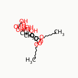 CCCC(O)O.CCCC(O)O.CCCCCCCCOC(=O)c1ccccc1C(=O)OCCCCCCCC.O=C(O)CCC(=O)O.c1ccccc1